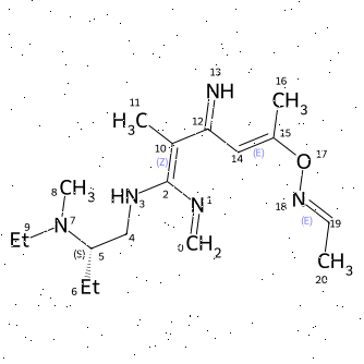 C=N/C(NC[C@H](CC)N(C)CC)=C(/C)C(=N)/C=C(\C)O/N=C/C